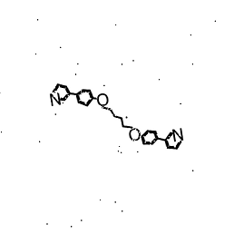 [CH](CCCOc1ccc(-c2cccnc2)cc1)CCOc1ccc(-c2cccnc2)cc1